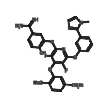 CCOC(=O)c1ccc(OC)c(Oc2c(F)c(Oc3cccc(-c4nccn4C)c3)nc(Oc3cc(C(=N)N)ccc3O)c2F)c1